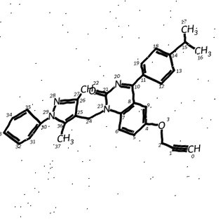 C#CCOc1ccc2c(c1)c(-c1ccc(C(C)C)cc1)nc(=O)n2Cc1c(C)nn(-c2ccccc2)c1C